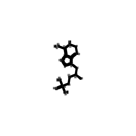 C[C@H](Cn1cnc2c1=NCNC=2N)OCP(=O)(O)O